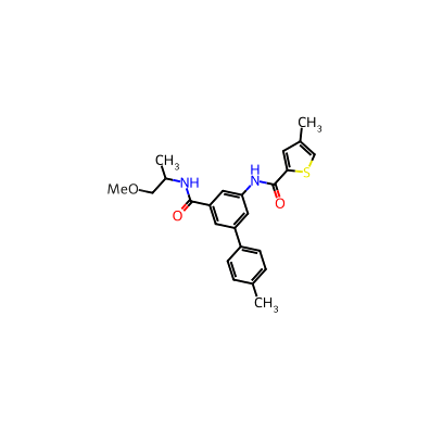 COCC(C)NC(=O)c1cc(NC(=O)c2cc(C)cs2)cc(-c2ccc(C)cc2)c1